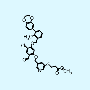 COC(=O)CCSc1cncc(COc2cc(OCc3cccc(-c4ccc5c(c4)OCCO5)c3C)c(Cl)cc2C=O)c1